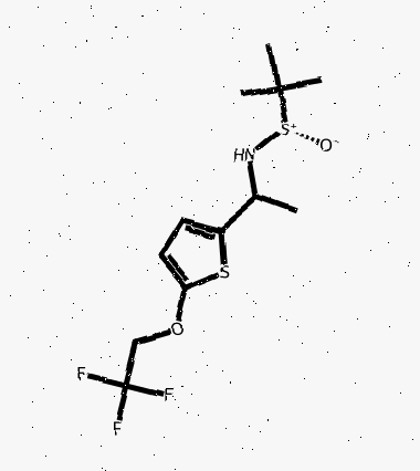 CC(N[S@@+]([O-])C(C)(C)C)c1ccc(OCC(F)(F)F)s1